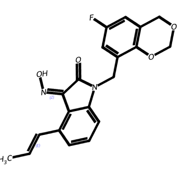 C/C=C/c1cccc2c1/C(=N/O)C(=O)N2Cc1cc(F)cc2c1OCOC2